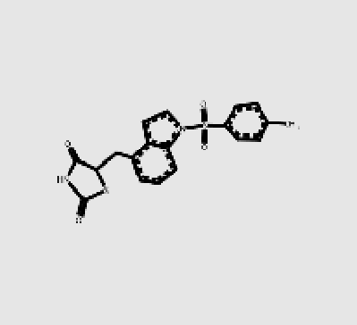 Cc1ccc(S(=O)(=O)n2ccc3c(CC4SC(=O)NC4=O)cccc32)cc1